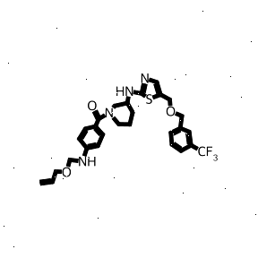 C=CCOCNc1ccc(C(=O)N2CCCC(Nc3ncc(COCc4cccc(C(F)(F)F)c4)s3)C2)cc1